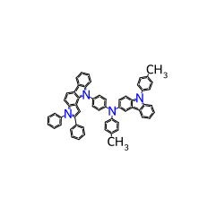 Cc1ccc(N(c2ccc(-n3c4ccccc4c4ccc5c(cc(-c6ccccc6)n5-c5ccccc5)c43)cc2)c2ccc3c(c2)c2ccccc2n3-c2ccc(C)cc2)cc1